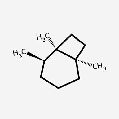 C[C@@H]1CCC[C@]2(C)CC[C@]12C